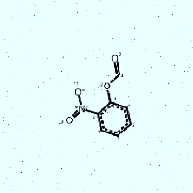 O=COc1ccccc1[N+](=O)[O-]